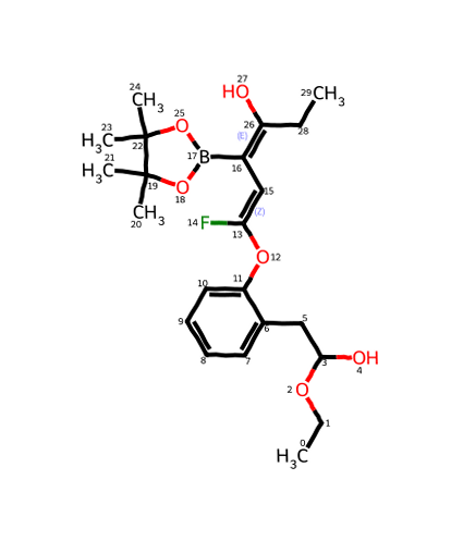 CCOC(O)Cc1ccccc1O/C(F)=C/C(B1OC(C)(C)C(C)(C)O1)=C(/O)CC